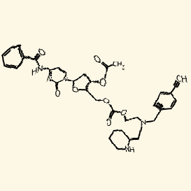 C#Cc1ccc(CN(CCOC(=O)OCC2O[C@@H](n3ccc(NC(=O)c4ccccc4)nc3=O)C[C@H]2OC(C)=O)CC2CCCCN2)cc1